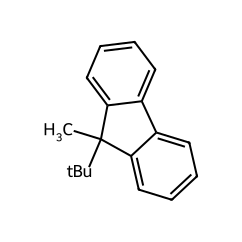 CC(C)(C)C1(C)c2ccccc2-c2ccccc21